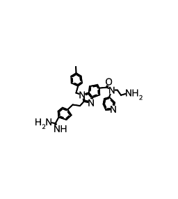 Cc1ccc(Cn2c(CCc3ccc(C(=N)N)cc3)nc3cc(C(=O)N(CCN)c4cccnc4)ccc32)cc1